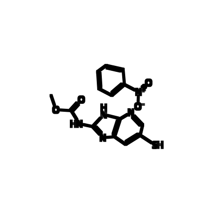 COC(=O)Nc1nc2cc(S)cnc2[nH]1.O=[N+]([O-])c1ccccc1